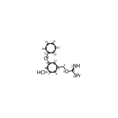 CC(C)C(=N)OCc1cccc(Oc2ccccc2)c1.Cl